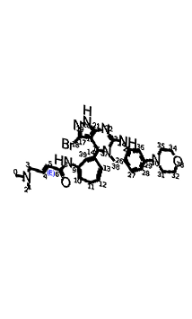 CN(C)C/C=C/C(=O)NC1=CCC=CC(C2c3c(Br)n[nH]c3N=C(Nc3cccc(N4CCOCC4)c3)N2C)=C1